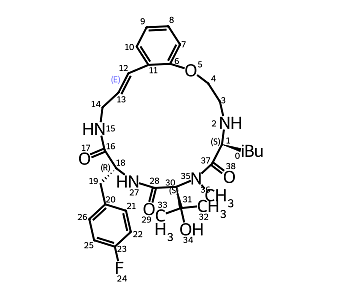 CCC(C)[C@@H]1NCCOc2ccccc2/C=C/CNC(=O)[C@@H](Cc2ccc(F)cc2)NC(=O)[C@H](C(C)(C)O)N(C)C1=O